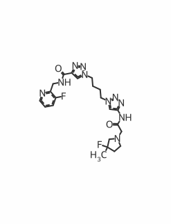 CC1(F)CCN(CC(=O)Nc2cn(CCCCn3cc(C(=O)NCc4ncccc4F)nn3)nn2)C1